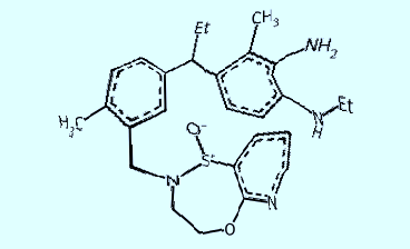 CCNc1ccc(C(CC)c2ccc(C)c(CN3CCOc4ncccc4[S+]3[O-])c2)c(C)c1N